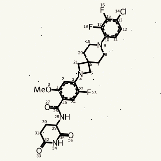 COc1cc(N2CC3(CCN(c4ccc(Cl)c(F)c4F)CC3)C2)c(F)cc1C(=O)NC1CCC(=O)NC1=O